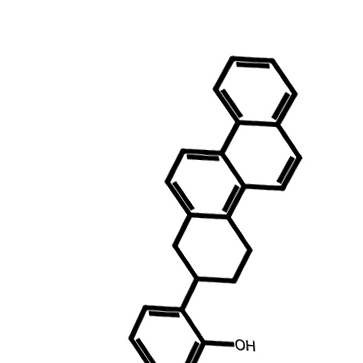 Oc1ccccc1C1CCc2c(ccc3c2ccc2ccccc23)C1